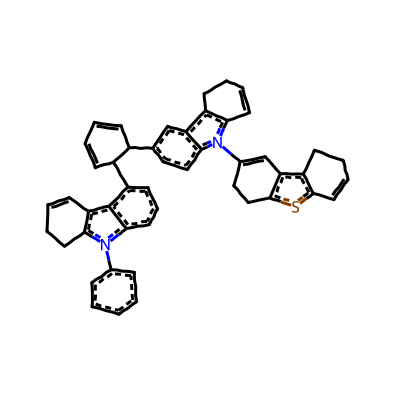 C1=CC(c2ccc3c(c2)c2c(n3C3=Cc4c(sc5c4CCC=C5)CC3)C=CCC2)C(c2cccc3c2c2c(n3-c3ccccc3)CCC=C2)C=C1